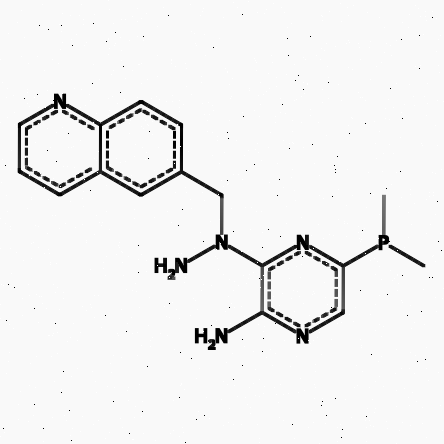 CP(C)c1cnc(N)c(N(N)Cc2ccc3ncccc3c2)n1